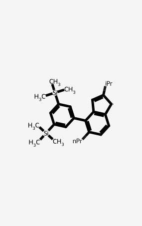 CCCc1ccc2c(c1-c1cc([Si](C)(C)C)cc([Si](C)(C)C)c1)C=C(C(C)C)[CH]2